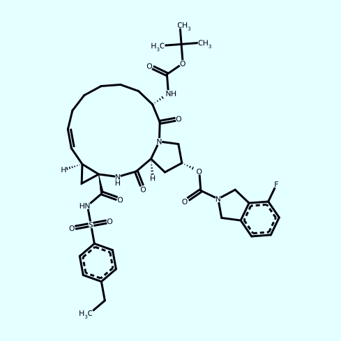 CCc1ccc(S(=O)(=O)NC(=O)[C@@]23C[C@H]2/C=C\CCCCC[C@H](NC(=O)OC(C)(C)C)C(=O)N2C[C@H](OC(=O)N4Cc5cccc(F)c5C4)C[C@H]2C(=O)N3)cc1